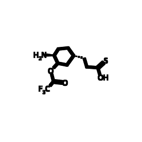 N[C@H]1CC[C@H](CCC(O)=S)CC1OC(=O)C(F)(F)F